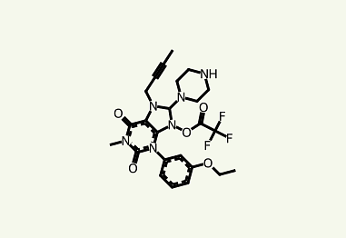 CC#CCN1c2c(n(-c3cccc(OCC)c3)c(=O)n(C)c2=O)N(OC(=O)C(F)(F)F)C1N1CCNCC1